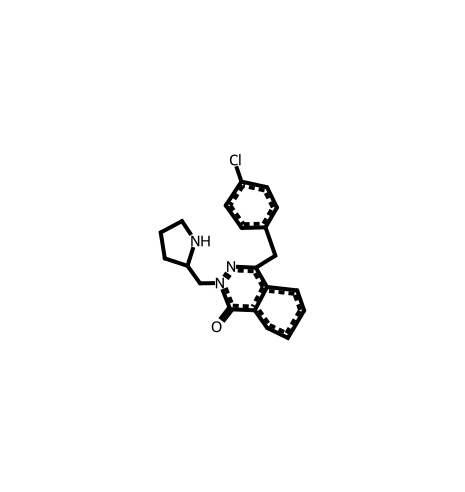 O=c1c2ccccc2c(Cc2ccc(Cl)cc2)nn1CC1CCCN1